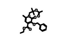 CCOC(=O)c1cc(C)n(CC(C)(C)OC(C)=O)c(=O)c1OCc1ccccc1